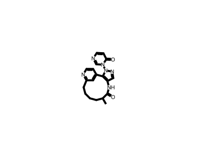 CC1CCCCc2cc(ccn2)-c2c(cnn2-n2cnccc2=O)NC1=O